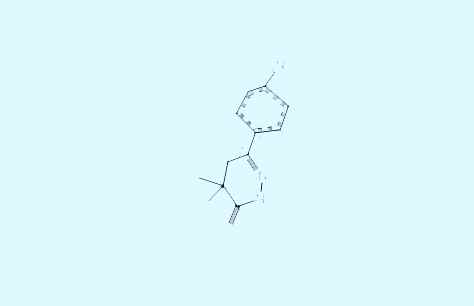 CC1(C)CC(c2ccc(N)cc2)=NNC1=O